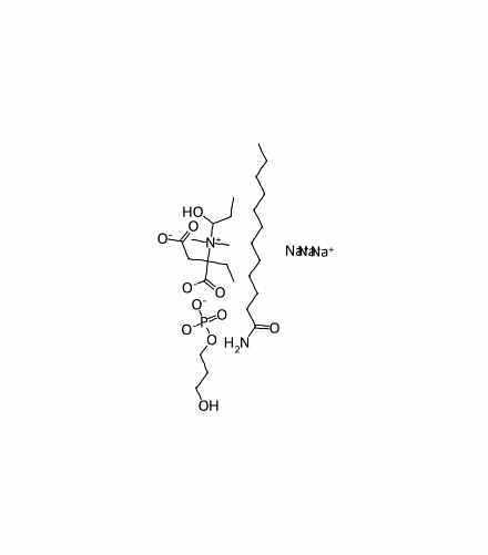 CCC(O)[N+](C)(C)C(CC)(CC(=O)[O-])C(=O)[O-].CCCCCCCCCCCC(N)=O.O=P([O-])([O-])OCCCO.[Na+].[Na+].[Na+]